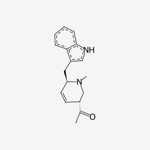 CC(=O)[C@@H]1C=C[C@@H](Cc2c[nH]c3ccccc23)N(C)C1